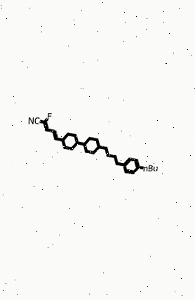 CCCCc1ccc(CCCCC2CCC(C3CCC(C=CC=C(F)C#N)CC3)CC2)cc1